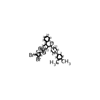 Cc1ccc(N2CCN(C(=O)C3CN(S(=O)(=O)c4cc(Br)c(Br)s4)CC3c3ccccc3)CC2)cc1C